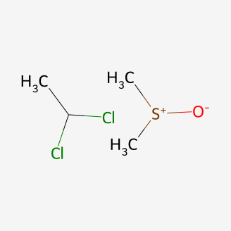 CC(Cl)Cl.C[S+](C)[O-]